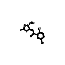 CCCCN1N=C(C)S/C1=C\C(=O)c1cc(Br)ccc1Cl